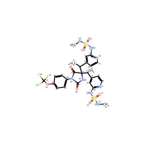 CNS(=O)(=O)Nc1cc(C(C)C2(C(C)c3ccnc(NS(=O)(=O)NC)c3)NC(=O)N(c3ccc(OC(F)(F)F)cc3)C2=O)ccn1